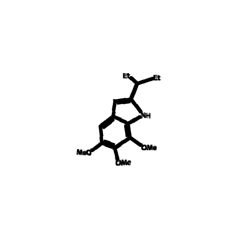 CCC(CC)c1cc2cc(OC)c(OC)c(OC)c2[nH]1